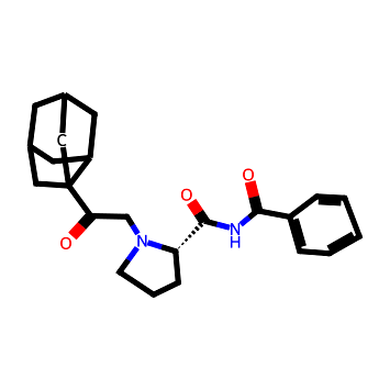 O=C(NC(=O)[C@@H]1CCCN1CC(=O)C12CC3CC(CC1C3)C2)c1ccccc1